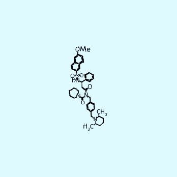 COc1ccc2cc(S(=O)(=O)N[C@H](CC(=O)N(Cc3ccc(CN4[C@H](C)CCC[C@@H]4C)cc3)C(=O)N3CCCCC3)c3ccccc3)ccc2c1